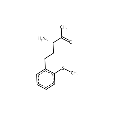 CSc1ccccc1CC[C@H](N)C(C)=O